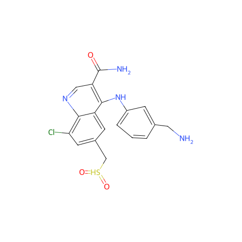 NCc1cccc(Nc2c(C(N)=O)cnc3c(Cl)cc(C[SH](=O)=O)cc23)c1